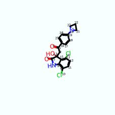 O=C(C[C@@]1(O)C(=O)Nc2c(Cl)ccc(Cl)c21)c1ccc(N2CCC2)cc1